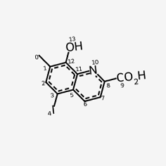 Cc1cc(I)c2ccc(C(=O)O)nc2c1O